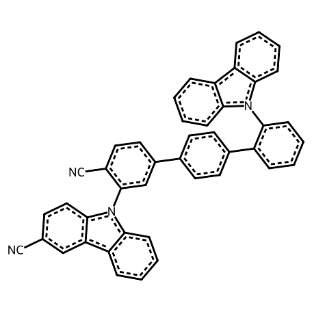 N#Cc1ccc2c(c1)c1ccccc1n2-c1cc(-c2ccc(-c3ccccc3-n3c4ccccc4c4ccccc43)cc2)ccc1C#N